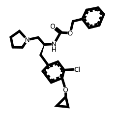 O=C(N[C@@H](Cc1ccc(OC2CC2)c(Cl)c1)CN1CCCC1)OCc1ccccc1